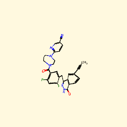 CC#Cc1ccc2c(=O)[nH]nc(Cc3cc(C(=O)N4CCN(c5ccc(C#N)cn5)CC4)c(F)cc3F)c2c1